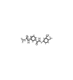 O=C(NCc1ccc(F)c(C(F)(F)F)c1)c1ccnc(NC(=O)C2CC2)c1